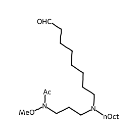 CCCCCCCCN(CCCCCCCC=O)CCCN(OC)C(C)=O